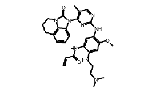 C=CC(=O)Nc1cc(Nc2ncc(C)c(-n3c(=O)n4c5c(cccc53)CCC4)n2)c(OC)cc1NCCN(C)C